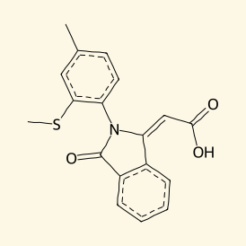 CSc1cc(C)ccc1N1C(=O)c2ccccc2C1=CC(=O)O